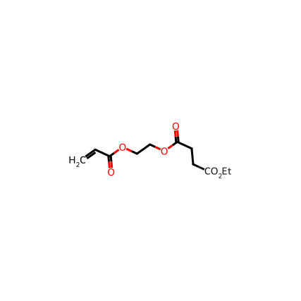 C=CC(=O)OCCOC(=O)CCC(=O)OCC